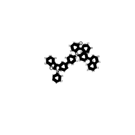 c1ccc(-n2c3ccc(-c4ccc(N(c5ccc(-c6cccc7ccccc67)cc5)c5cccc6oc7ccccc7c56)cc4)cc3c3c4ccccc4oc32)cc1